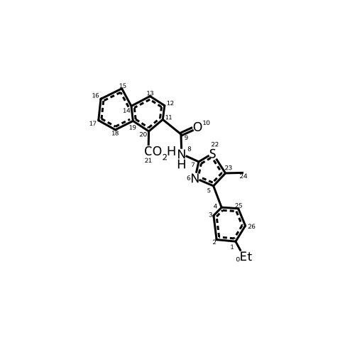 CCc1ccc(-c2nc(NC(=O)c3ccc4ccccc4c3C(=O)O)sc2C)cc1